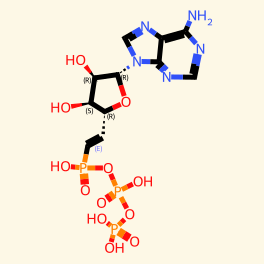 Nc1ncnc2c1ncn2[C@@H]1O[C@H](/C=C/P(=O)(O)OP(=O)(O)OP(=O)(O)O)[C@@H](O)[C@H]1O